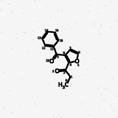 CCC(=O)c1occc1C(=O)c1ccccc1